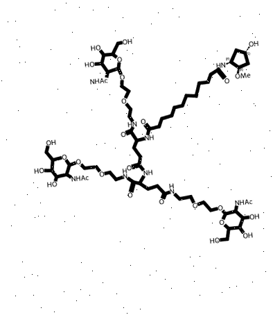 CO[C@@H]1C[C@@H](O)C[C@H]1NC(=O)CCCCCCCCCCC(=O)NC(CCC(=O)NC(CCC(=O)NCCOCCOC1OC(CO)C(O)C(O)C1NC(C)=O)C(=O)NCCOCCOC1OC(CO)C(O)C(O)C1NC(C)=O)C(=O)NCCOCCOC1OC(CO)C(O)C(O)C1NC(C)=O